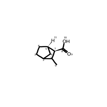 CC1C2CC[C@H](C2)[C@H]1C(=O)O